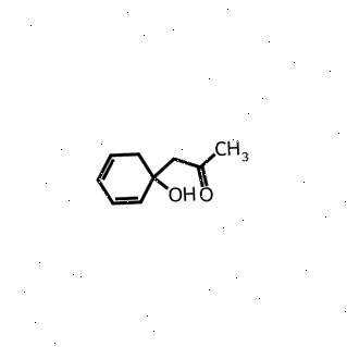 CC(=O)CC1(O)C=CC=CC1